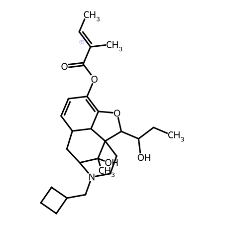 C/C=C(\C)C(=O)OC1=C2OC(C(O)CC)C34CCN(CC5CCC5)C(CC(C=C1)C23)C4(C)O